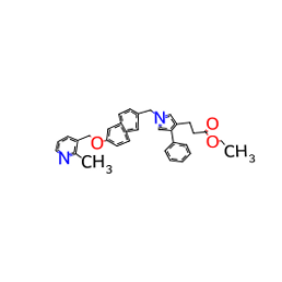 CCOC(=O)CCc1cn(Cc2ccc3cc(OCc4cccnc4C)ccc3c2)cc1-c1ccccc1